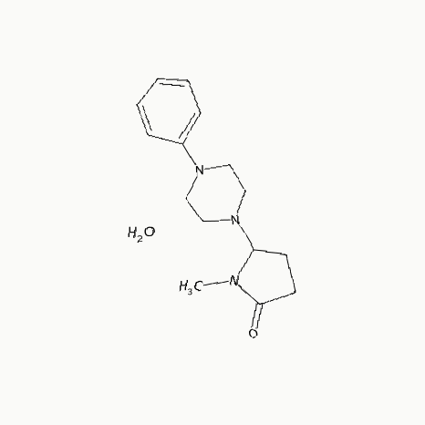 CN1C(=O)CCC1N1CCN(c2ccccc2)CC1.O